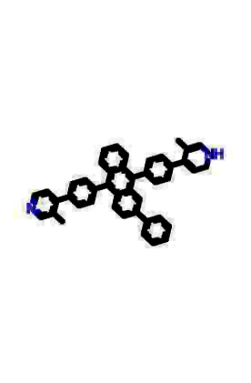 CC1=CNCC=C1c1ccc(-c2c3ccccc3c(-c3ccc(-c4ccncc4C)cc3)c3ccc(-c4ccccc4)cc23)cc1